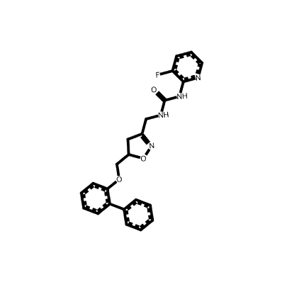 O=C(NCC1=NOC(COc2ccccc2-c2ccccc2)C1)Nc1ncccc1F